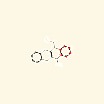 CC12C3=C(Cc4ccccc4C3)C(CO)(c3ccccc31)c1ccccc12